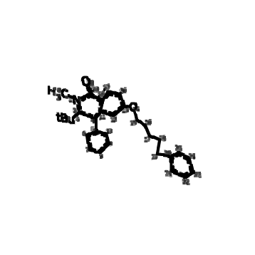 Cn1c(C(C)(C)C)c(-c2ccccc2)c2cc(OCCCCCc3ccccc3)ccc2c1=O